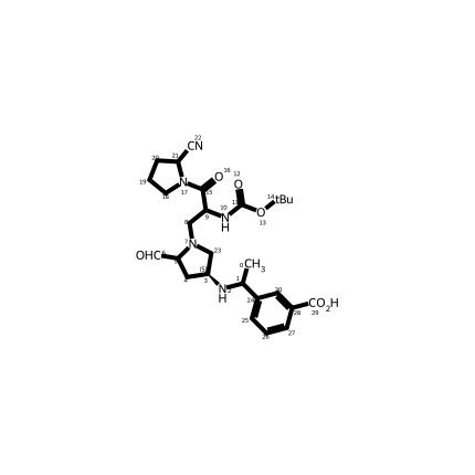 CC(N[C@H]1CC(C=O)N(CC(NC(=O)OC(C)(C)C)C(=O)N2CCCC2C#N)C1)c1cccc(C(=O)O)c1